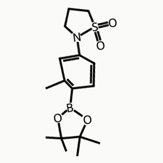 Cc1cc(N2CCCS2(=O)=O)ccc1B1OC(C)(C)C(C)(C)O1